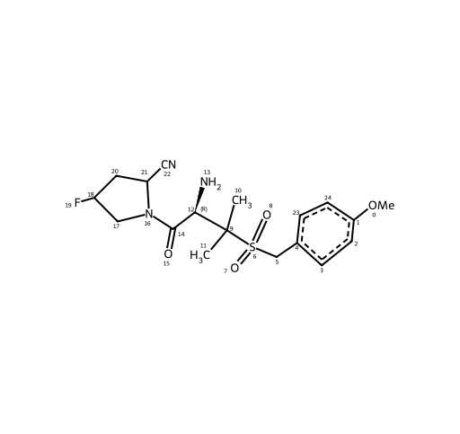 COc1ccc(CS(=O)(=O)C(C)(C)[C@H](N)C(=O)N2CC(F)CC2C#N)cc1